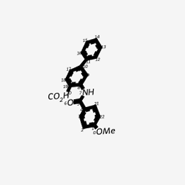 COc1ccc(C(=O)Nc2cc(-c3ccccc3)ccc2C(=O)O)cc1